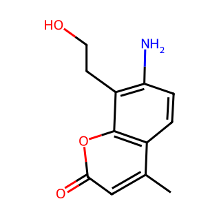 Cc1cc(=O)oc2c(CCO)c(N)ccc12